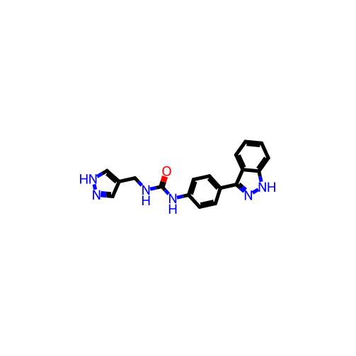 O=C(NCc1cn[nH]c1)Nc1ccc(-c2n[nH]c3ccccc23)cc1